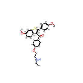 CCNCCOc1ccc(C(=O)c2c(-c3ccc(OC)cc3)sc3cc(OC)ccc23)cc1